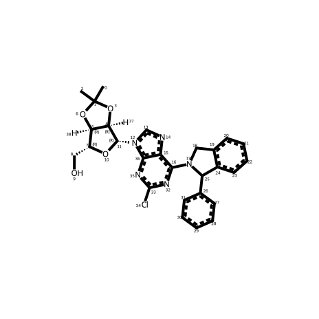 CC1(C)O[C@@H]2[C@H](O1)[C@@H](CO)O[C@H]2n1cnc2c(N3Cc4ccccc4C3c3ccccc3)nc(Cl)nc21